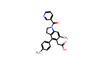 Cc1ccc(-c2c(CC(=O)O)c(C)cc3c2CCN3C(=O)c2cccnc2)cc1